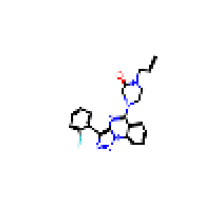 C=CCN1CCN(c2nc3c(-c4ccccc4F)nnn3c3ccccc23)CC1=O